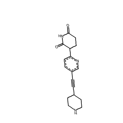 O=C1CCC(c2ccc(C#CC3CCNCC3)cn2)C(=O)N1